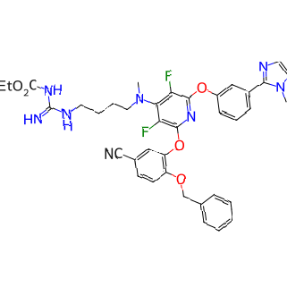 CCOC(=O)NC(=N)NCCCCN(C)c1c(F)c(Oc2cccc(-c3nccn3C)c2)nc(Oc2cc(C#N)ccc2OCc2ccccc2)c1F